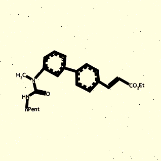 CCCCCNC(=O)N(C)c1cccc(-c2ccc(/C=C/C(=O)OCC)cc2)c1